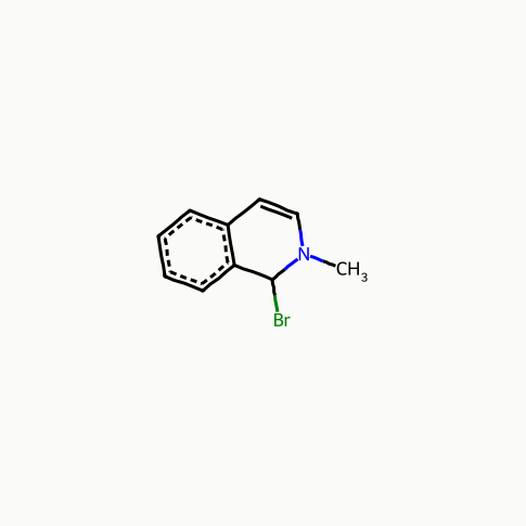 CN1C=Cc2ccccc2C1Br